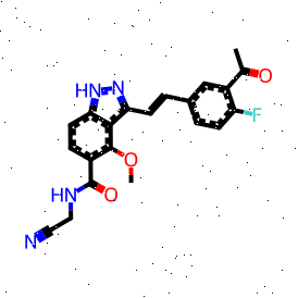 COc1c(C(=O)NCC#N)ccc2[nH]nc(C=Cc3ccc(F)c(C(C)=O)c3)c12